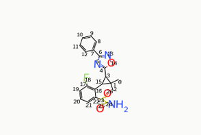 CC1(C)C(c2nc(-c3ccccc3)no2)C1c1c(F)cccc1S(N)(=O)=O